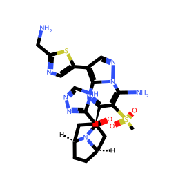 CS(=O)(=O)c1c([C@H]2C[C@H]3CC[C@@H](C2)N3C(=O)c2nnc[nH]2)nc2c(-c3cnc(CN)s3)cnn2c1N